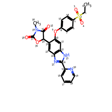 CCS(=O)(=O)c1ccc(Oc2cc3[nH]c(-c4ccccn4)nc3cc2C2OC(=O)N(C)C2=O)cc1